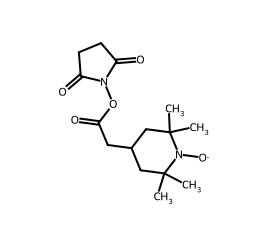 CC1(C)CC(CC(=O)ON2C(=O)CCC2=O)CC(C)(C)N1[O]